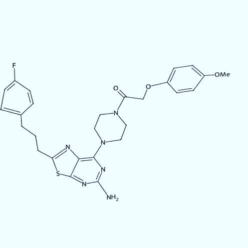 COc1ccc(OCC(=O)N2CCN(c3nc(N)nc4sc(CCCc5ccc(F)cc5)nc34)CC2)cc1